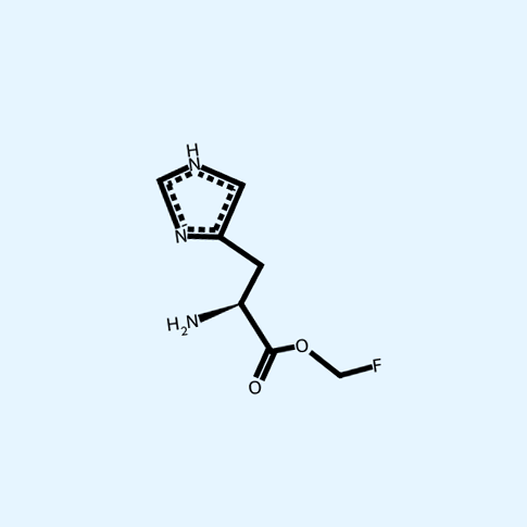 N[C@@H](Cc1c[nH]cn1)C(=O)OCF